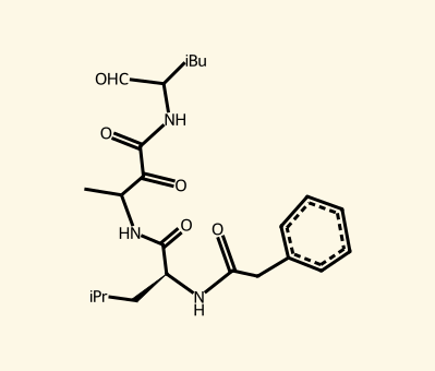 CCC(C)C(C=O)NC(=O)C(=O)C(C)NC(=O)[C@H](CC(C)C)NC(=O)Cc1ccccc1